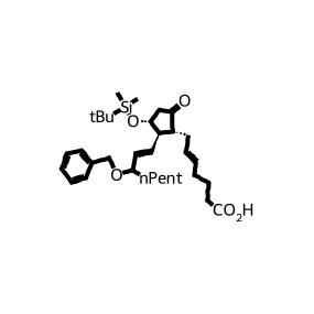 CCCCCC(C=C[C@H]1[C@H](O[Si](C)(C)C(C)(C)C)CC(=O)[C@@H]1CC=CCCCC(=O)O)OCc1ccccc1